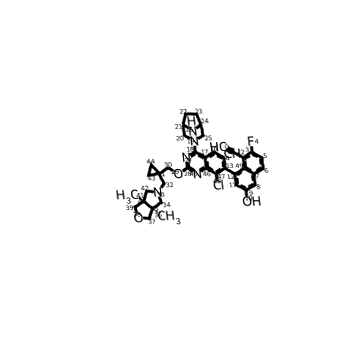 C#Cc1c(F)ccc2cc(O)cc(-c3c(C)cc4c(N5CC6CCC(C5)N6)nc(OCC5(CN6C[C@@]7(C)COC[C@]7(C)C6)CC5)nc4c3Cl)c12